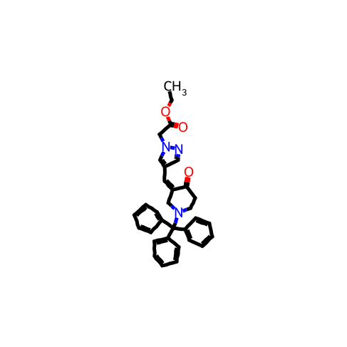 CCOC(=O)Cn1cc(C=C2CN(C(c3ccccc3)(c3ccccc3)c3ccccc3)CCC2=O)cn1